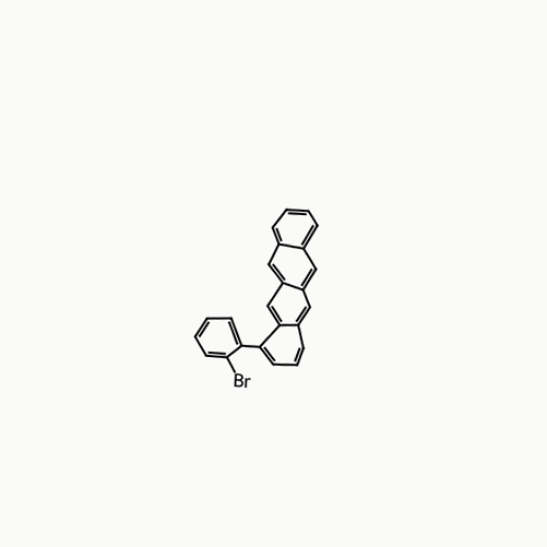 Brc1ccccc1-c1cccc2cc3cc4ccccc4cc3cc12